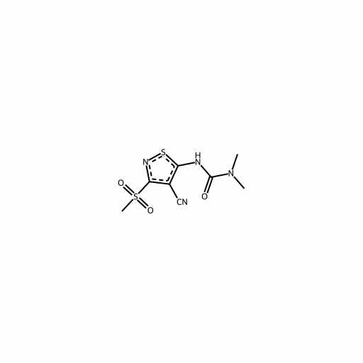 CN(C)C(=O)Nc1snc(S(C)(=O)=O)c1C#N